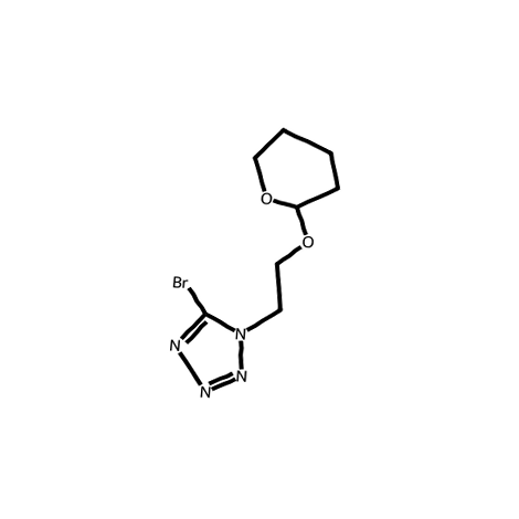 Brc1nnnn1CCOC1CCCCO1